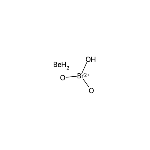 [BeH2].[O-][Br+2]([O-])O